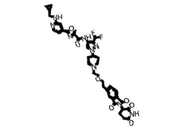 O=C1CCC(N2C(=O)c3ccc(CCOCCN4CCC(n5cc(NC(=O)c6coc(-c7ccnc(NCC8CC8)c7)n6)c(C(F)F)n5)CC4)cc3C2=O)C(=O)N1